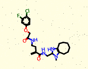 C=C(CCNC(=O)COc1ccc(Cl)c(F)c1)C(=O)NCC1NC2=C(CCCCCC2)N1C